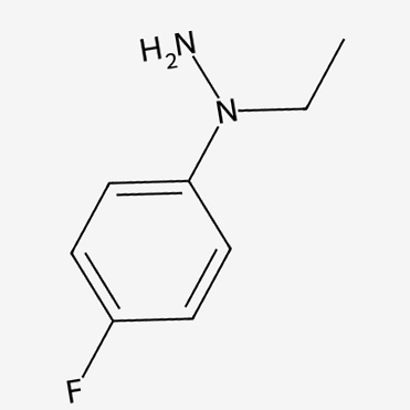 CCN(N)c1ccc(F)cc1